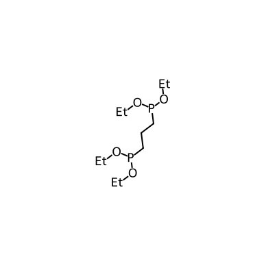 CCOP(CCCP(OCC)OCC)OCC